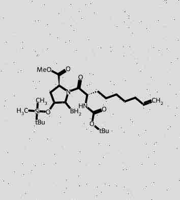 BC1C(O[Si](C)(C)C(C)(C)C)C[C@@H](C(=O)OC)N1C(=O)[C@H](CCCCCC=C)NC(=O)OC(C)(C)C